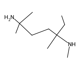 CCC(C)(CCC(C)(C)N)NC